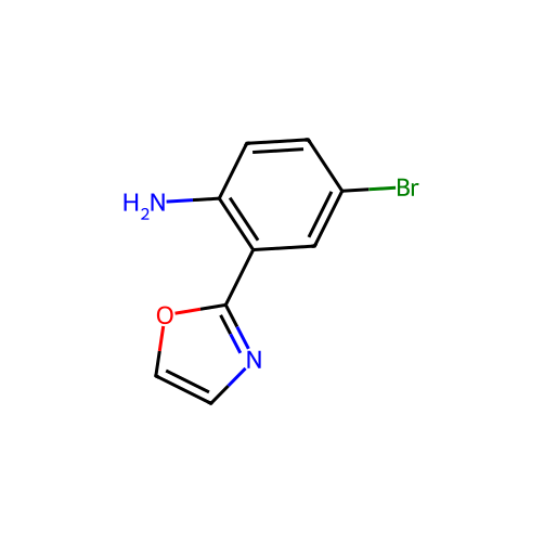 Nc1ccc(Br)cc1-c1ncco1